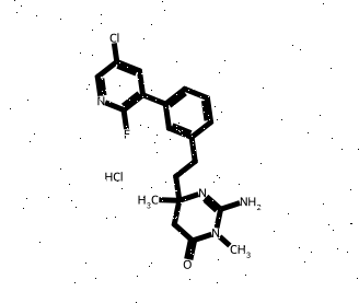 CN1C(=O)CC(C)(CCc2cccc(-c3cc(Cl)cnc3F)c2)N=C1N.Cl